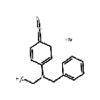 Br.CCN(Cc1ccccc1)C1=CCC(=[N+]=[N-])C=C1